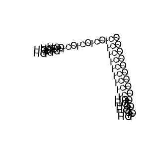 COc1ccc(I)cc1.COc1ccc(I)cc1.COc1ccc(I)cc1.COc1ccc(I)cc1.COc1ccc(I)cc1.COc1ccc(I)cc1.COc1ccc(I)cc1.COc1ccc(I)cc1.COc1ccc(I)cc1.COc1ccc(I)cc1.COc1ccc(I)cc1.COc1ccc(I)cc1.O=P(O)(O)F.O=P(O)(O)F.O=P(O)(O)F.O=P(O)(O)F.O=P(O)(O)F.O=P(O)(O)F